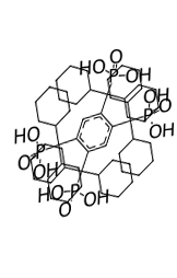 O=P(O)(O)C(c1cc(C(C2CCCCC2)(C2CCCCC2)P(=O)(O)O)c(C(C2CCCCC2)(C2CCCCC2)P(=O)(O)O)cc1C(C1CCCCC1)(C1CCCCC1)P(=O)(O)O)(C1CCCCC1)C1CCCCC1